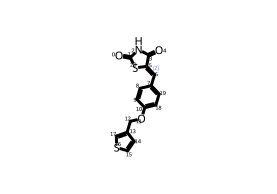 O=C1NC(=O)/C(=C/c2ccc(OCc3ccsc3)cc2)S1